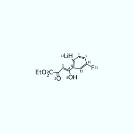 CCOC(=O)C(=O)C=C(O)c1cccc(F)c1.[LiH]